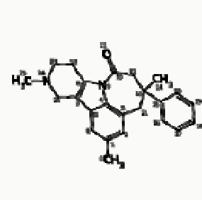 Cc1cc2c3c(c1)c1c(n3C(=O)CC(C)(c3ccccc3)C2)CCN(C)C1